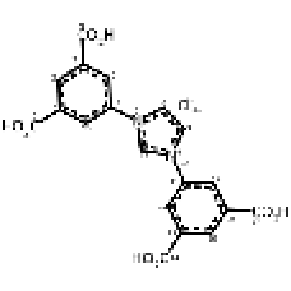 O=C(O)c1cc(C(=O)O)cc(-n2cc[n+](-c3cc(C(=O)O)cc(C(=O)O)c3)c2)c1.[Cl-]